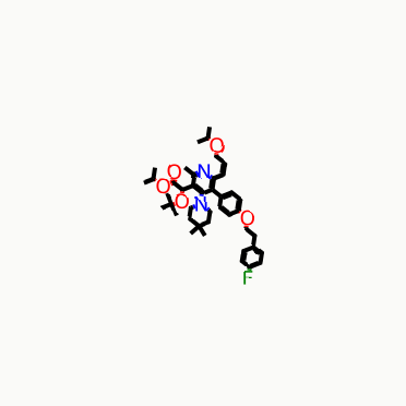 Cc1nc(/C=C\COC(C)C)c(-c2ccc(OCCc3ccc(F)cc3)cc2)c(N2CCC(C)(C)CC2)c1C(OC(C)(C)C)C(=O)OC(C)C